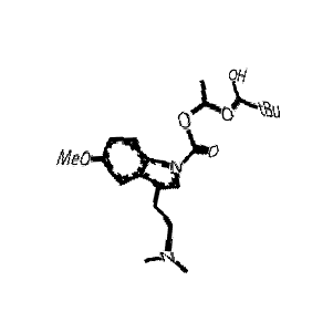 COc1ccc2c(c1)c(CCN(C)C)cn2C(=O)OC(C)OC(O)C(C)(C)C